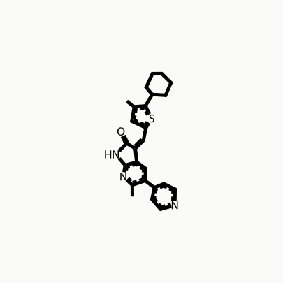 Cc1cc(C=C2C(=O)Nc3nc(C)c(-c4ccncc4)cc32)sc1C1CCCCC1